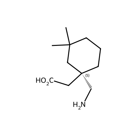 CC1(C)CCC[C@@](CN)(CC(=O)O)C1